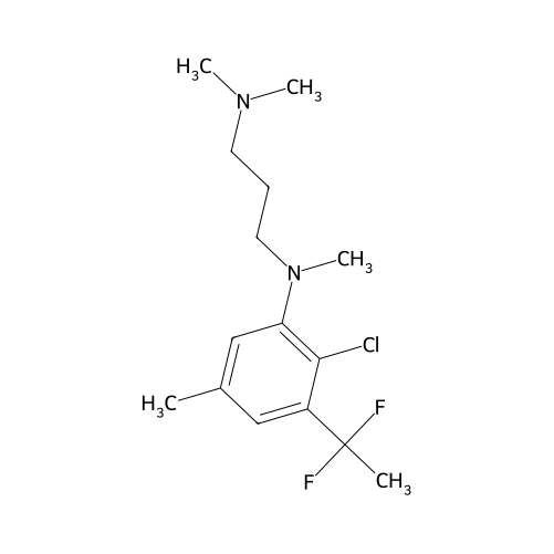 Cc1cc(N(C)CCCN(C)C)c(Cl)c(C(C)(F)F)c1